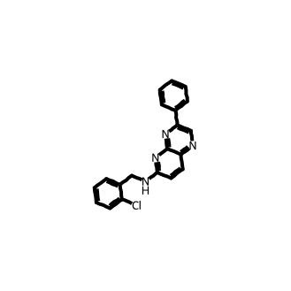 Clc1ccccc1CNc1ccc2ncc(-c3ccccc3)nc2n1